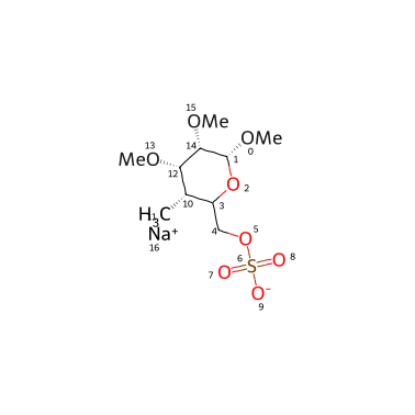 CO[C@@H]1OC(COS(=O)(=O)[O-])[C@H](C)[C@H](OC)[C@@H]1OC.[Na+]